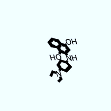 CCN(CC)C1=CCC(Nc2cc(O)c3ccccc3c2O)C=C1